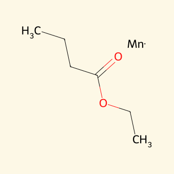 CCCC(=O)OCC.[Mn]